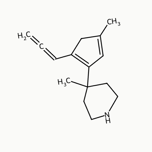 C=C=CC1=C(C2(C)CCNCC2)C=C(C)C1